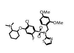 COc1ccc(CN(c2nccs2)S(=O)(=O)c2cc(Cl)c(OC3CCCCC3N(C)C)cc2F)c(OC)c1